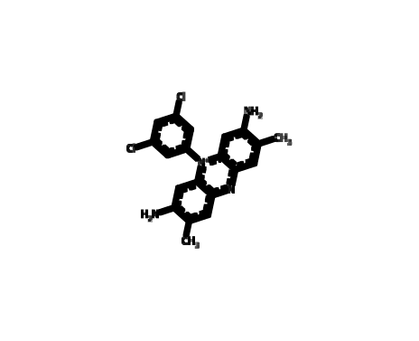 Cc1cc2nc3cc(C)c(N)cc3[n+](-c3cc(Cl)cc(Cl)c3)c2cc1N